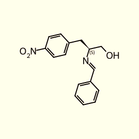 O=[N+]([O-])c1ccc(C[C@@H](CO)N=Cc2ccccc2)cc1